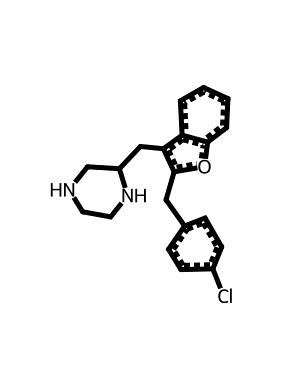 Clc1ccc(Cc2oc3ccccc3c2CC2CNCCN2)cc1